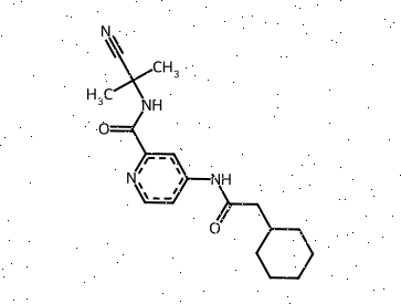 CC(C)(C#N)NC(=O)c1cc(NC(=O)CC2CCCCC2)ccn1